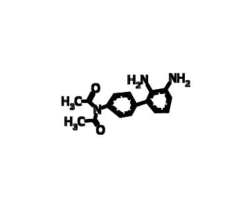 CC(=O)N(C(C)=O)c1ccc(-c2cccc(N)c2N)cc1